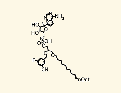 CCCCCCCC/C=C/CCCCCCCCOC[C@H](COP(=O)(O)OC[C@H]1O[C@@](C)(c2ccc3c(N)ncnn23)[C@H](O)[C@@H]1O)OCc1cc(F)cc(C#N)c1